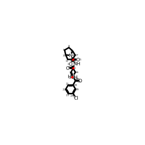 C=CCOC(=O)N1C2CCC1CC(NC(=O)CNC(=O)c1cccc(Cl)c1)C2